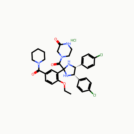 CCOc1ccc(C(=O)N2CCCCC2)cc1C1(C(=O)N2CCNC(=O)C2)N[C@H](c2ccc(Cl)cc2)[C@H](c2ccc(Cl)cc2)N1.Cl